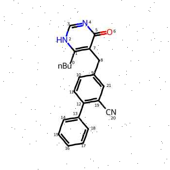 CCCCc1[nH]cnc(=O)c1Cc1ccc(-c2ccccc2)c(C#N)c1